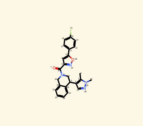 Cc1c(C2CN(C(=O)c3cc(-c4ccc(F)cc4)on3)Cc3ccccc32)cnn1C